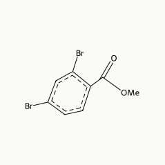 COC(=O)c1ccc(Br)cc1Br